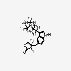 [2H]N1C(=O)OC[C@]1([2H])Cc1ccc2c(c1)c(C([2H])([2H])C([2H])([2H])N(C([2H])([2H])[2H])C([2H])([2H])[2H])cn2[2H]